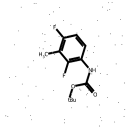 Cc1c(F)ccc(NC(=O)OC(C)(C)C)c1F